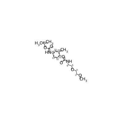 COCCOCCNC(=O)Oc1ccc(NC(=O)OC(C)C)cc1C